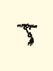 CNc1ncc(C#Cc2ccc(CN3CC(F)(F)C3)cn2)c2cc(NC(=O)C3CC3)ncc12